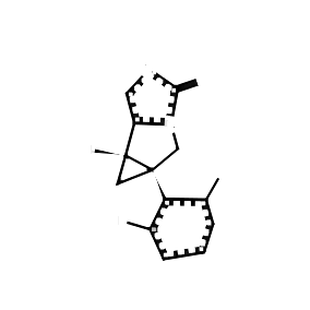 Fc1cccc(F)c1[C@@]12C[C@@H]1c1c[nH]c(=S)n1C2